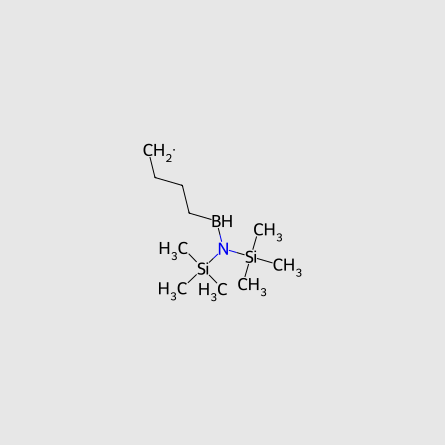 [CH2]CCCBN([Si](C)(C)C)[Si](C)(C)C